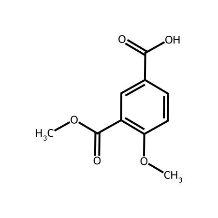 COC(=O)c1cc(C(=O)O)ccc1OC